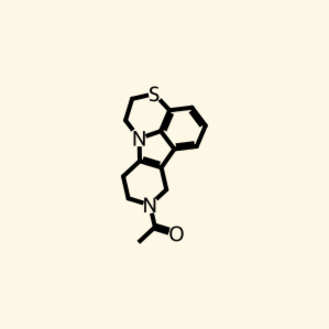 CC(=O)N1CCc2c(c3cccc4c3n2CCS4)C1